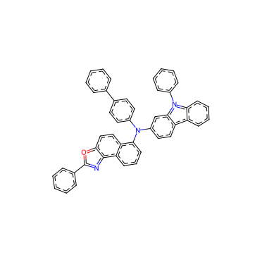 c1ccc(-c2ccc(N(c3ccc4c5ccccc5n(-c5ccccc5)c4c3)c3cccc4c3ccc3oc(-c5ccccc5)nc34)cc2)cc1